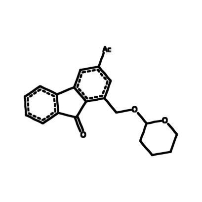 CC(=O)c1cc(COC2CCCCO2)c2c(c1)-c1ccccc1C2=O